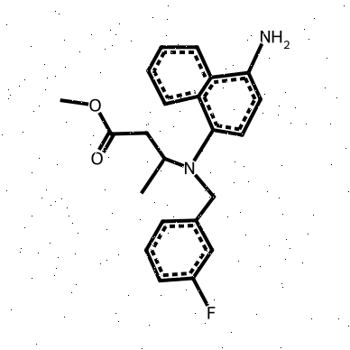 COC(=O)CC(C)N(Cc1cccc(F)c1)c1ccc(N)c2ccccc12